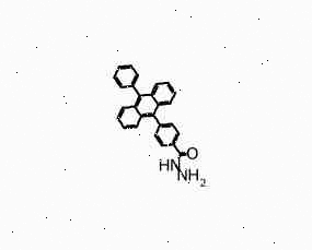 NNC(=O)c1ccc(-c2c3ccccc3c(-c3ccccc3)c3ccccc23)cc1